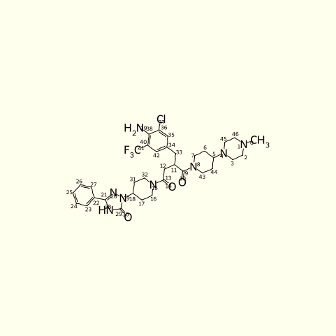 CN1CCN(C2CCN(C(=O)C(CC(=O)N3CCC(n4nc(-c5ccccc5)[nH]c4=O)CC3)Cc3cc(Cl)c(N)c(C(F)(F)F)c3)CC2)CC1